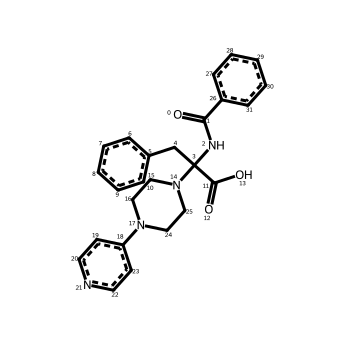 O=C(NC(Cc1ccccc1)(C(=O)O)N1CCN(c2ccncc2)CC1)c1ccccc1